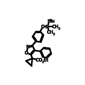 CCOC(=O)C1(c2onc(-c3ccc(O[Si](C)(C)C(C)(C)C)cc3)c2-c2ccccc2)CC1